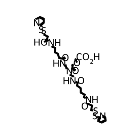 O=C(O)COCC(=O)N(CCNC(=O)CCCCCNC(=O)CCSSc1ccccn1)CCNC(=O)CCCCCNC(O)CCSSc1ccccn1